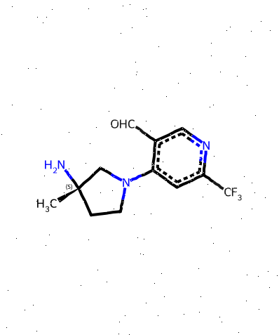 C[C@]1(N)CCN(c2cc(C(F)(F)F)ncc2C=O)C1